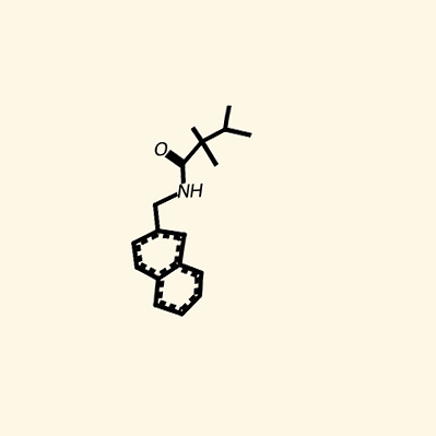 CC(C)C(C)(C)C(=O)NCc1ccc2ccccc2c1